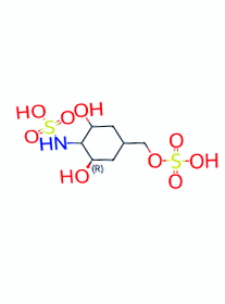 O=S(=O)(O)NC1C(O)CC(COS(=O)(=O)O)C[C@H]1O